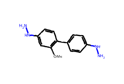 COc1cc(NN)ccc1-c1ccc(NN)cc1